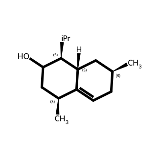 CC(C)[C@@H]1C(O)C[C@H](C)C2=CC[C@H](C)C[C@H]21